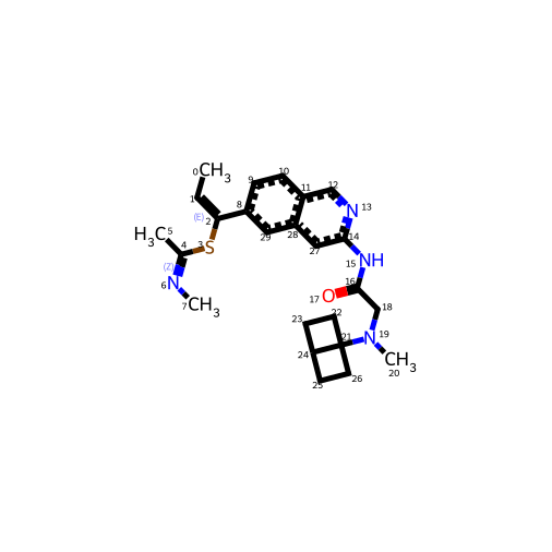 C/C=C(/S/C(C)=N\C)c1ccc2cnc(NC(=O)CN(C)C34CCC3CC4)cc2c1